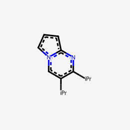 CC(C)c1cn2cccc2nc1C(C)C